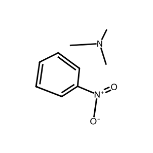 CN(C)C.O=[N+]([O-])c1ccccc1